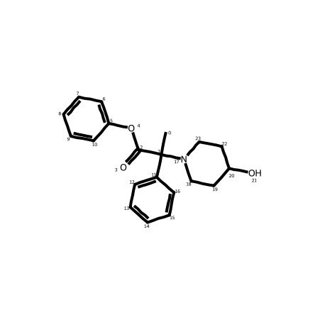 CC(C(=O)Oc1ccccc1)(c1ccccc1)N1CCC(O)CC1